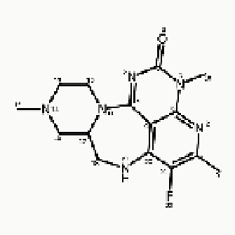 Cc1nc2c3c(nc(=O)n2C)N2CCN(C)CC2CNc3c1F